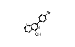 Oc1nc(-c2ccc(Br)cc2)cc2ncccc12